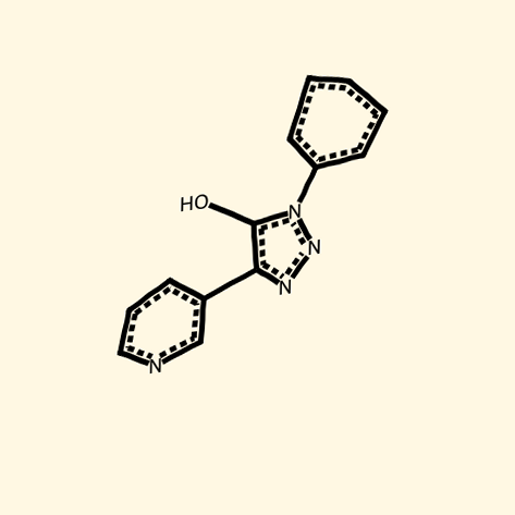 Oc1c(-c2cccnc2)nnn1-c1ccccc1